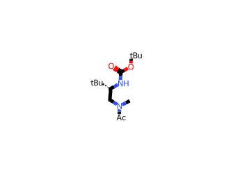 CC(=O)N(C)C[C@@H](NC(=O)OC(C)(C)C)C(C)(C)C